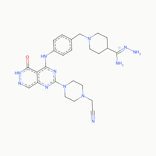 N#CCN1CCN(c2nc(Nc3ccc(CN4CCC(/C(N)=N/N)CC4)cc3)c3c(=O)[nH]ncc3n2)CC1